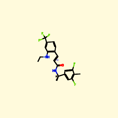 CCNc1cc(C(F)(F)F)ccc1/C=C/C(=O)N[C@H](C)c1cc(F)c(C)c(F)c1